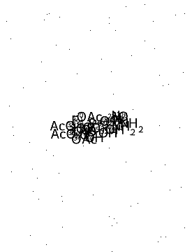 CC(=O)OC[C@H](F)C1OC(OP(=O)(O)OP(O)(=S)OCC2OC(c3cnn(C(N)=O)c3N)C(O)C2O)C(OC(C)=O)C(OC(C)=O)C1OC(C)=O